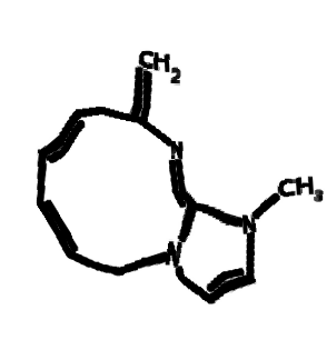 C=C1/C=C\C=C/CN2C=CN(C)/C2=N/1